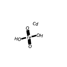 O=[Te](=O)(O)O.[Cd]